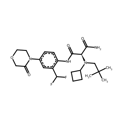 CC(C)(C)CN(C1CCC1)[C@H](C(N)=O)C(=O)Nc1ccc(N2CCOCC2=O)cc1C(F)F